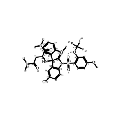 COc1ccc(S(=O)(=O)N2C(=O)C(N[C@@H](CC(=O)N(C)C)C(=O)N(C)C)(c3ccccc3OC)c3cc(Cl)ccc32)c(OC(F)(F)F)c1